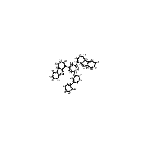 c1ccc(-c2cccc(-c3nc(-c4cccc5c4sc4ccccc45)nc(-c4cccc5c4sc4ccccc45)n3)c2)cc1